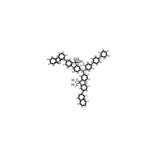 CC1(C)c2cc(-c3ccc4ccccc4c3)ccc2-c2ccc(C(c3ccc(-c4ccc(-c5ccccc5)cc4)cc3)c3ccc4c(c3)C(C)(C)c3cc(-c5cccc6c5oc5ccccc56)ccc3-4)cc21